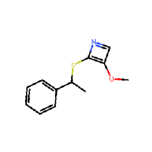 COC1=C(SC(C)c2ccccc2)N=C1